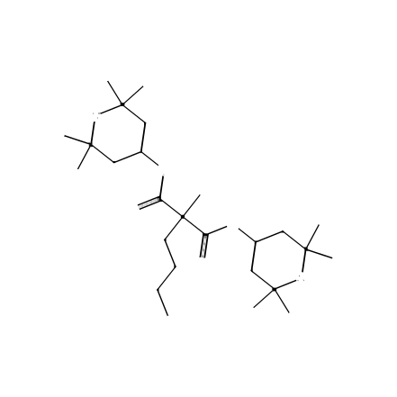 [CH2]C(CCCC)(C(=O)OC1CC(C)(C)NC(C)(C)C1)C(=O)OC1CC(C)(C)NC(C)(C)C1